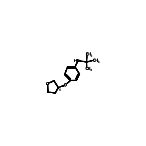 CC(C)(C)Nc1ccc(O[C@H]2CCOC2)cc1